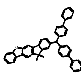 CC1(C)c2cc(C(c3ccc(-c4ccccc4)cc3)c3ccc(-c4ccccc4)cc3)ccc2-c2cc3oc4ccccc4c3cc21